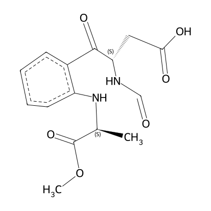 COC(=O)[C@H](C)Nc1ccccc1C(=O)[C@H](CC(=O)O)NC=O